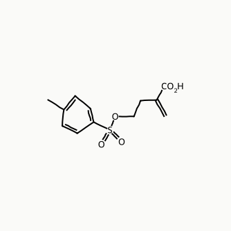 C=C(CCOS(=O)(=O)c1ccc(C)cc1)C(=O)O